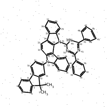 CC1(C)c2ccccc2-c2ccc(-n3c4ccccc4c4c3ccc3c5ccccc5n(C5N=C(c6ccccc6)N=C(c6ccccc6)N5)c34)cc21